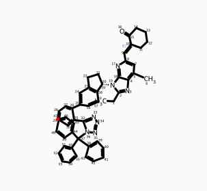 CCc1nc2c(C)cc(/C=C3\CCCCC3=O)nc2n1[C@H]1CCc2cc(-c3ccccc3-c3nnnn3C(c3ccccc3)(c3ccccc3)c3ccccc3)ccc21